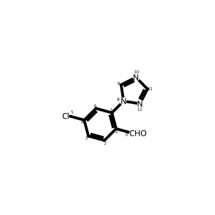 O=Cc1ccc(Cl)cc1-n1cncn1